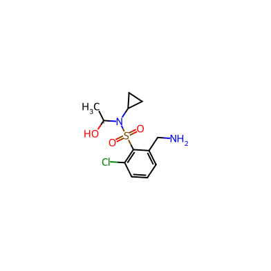 C[C](O)N(C1CC1)S(=O)(=O)c1c(Cl)cccc1CN